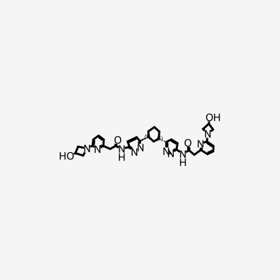 O=C(Cc1cccc(N2CC(O)C2)n1)Nc1ccc([C@H]2CCC[C@H](c3ccc(NC(=O)Cc4cccc(N5CC(O)C5)n4)nn3)C2)nn1